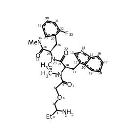 CCC(N)COCC(=O)N(C)[C@H](Cc1csc2ccccc12)C(=O)N(C)[C@H](Cc1ccccc1F)C(=O)NC